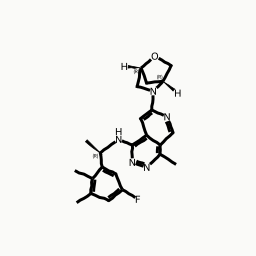 Cc1cc(F)cc([C@@H](C)Nc2nnc(C)c3cnc(N4C[C@H]5C[C@@H]4CO5)cc23)c1C